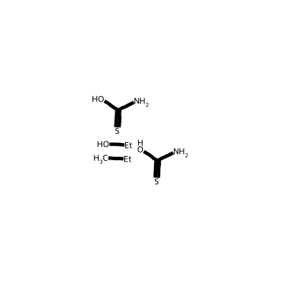 CCC.CCO.NC(O)=S.NC(O)=S